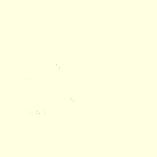 CC(=O)Nc1nc2cc(C)c(C)cc2n(C)c1=O